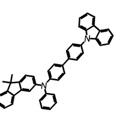 CC1(C)c2ccccc2-c2cc(N(c3ccccc3)c3ccc(-c4ccc(-n5c6ccccc6c6ccccc65)cc4)cc3)ccc21